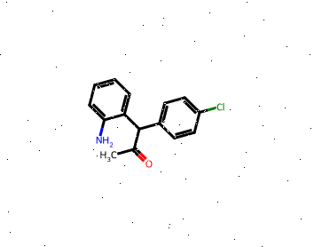 CC(=O)C(c1ccc(Cl)cc1)c1ccccc1N